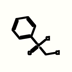 O=P(Cl)(CCl)c1ccccc1